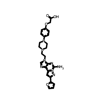 Nc1nc2c(ncn2CCN2CCN(c3ccc(OCC(=O)O)cc3)CC2)c2cc(-c3ccco3)nn12